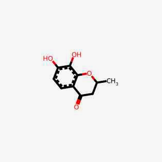 CC1CC(=O)c2ccc(O)c(O)c2O1